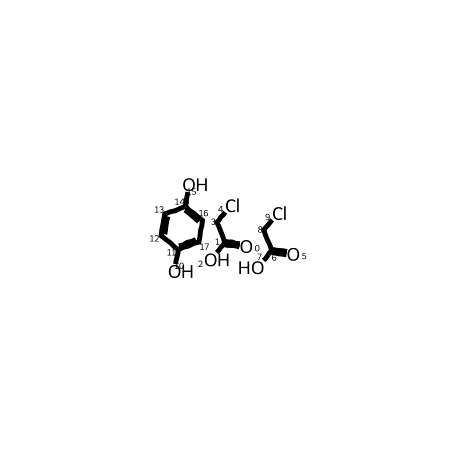 O=C(O)CCl.O=C(O)CCl.Oc1ccc(O)cc1